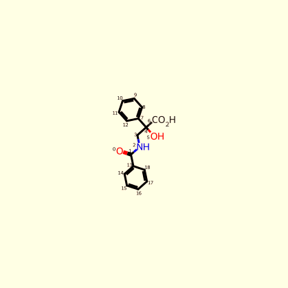 O=C(NCC(O)(C(=O)O)c1ccccc1)c1ccccc1